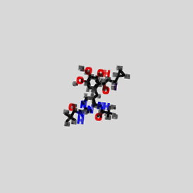 COc1cc(Cc2cnc(NC(=O)C(C)(C)C)nc2NC(=O)C(C)(C)C)c(C(=O)CC(I)C2CC2)c(O)c1OC